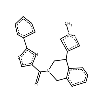 Cn1cc(C2CN(C(=O)c3csc(-c4ccccc4)n3)Cc3ccccc32)cn1